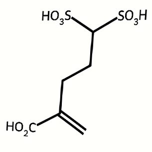 C=C(CCC(S(=O)(=O)O)S(=O)(=O)O)C(=O)O